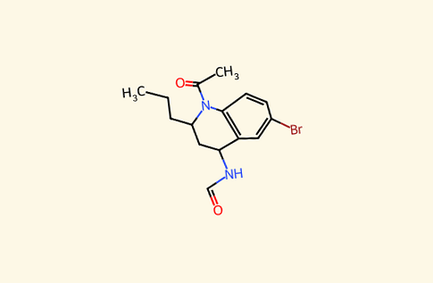 CCCC1CC(NC=O)c2cc(Br)ccc2N1C(C)=O